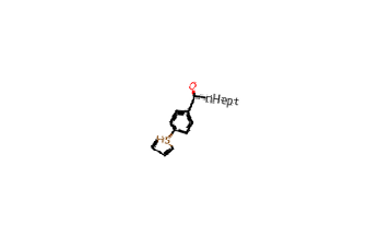 CCCCCCCC(=O)c1ccc([SH]2C=CC=C2)cc1